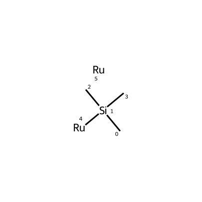 C[Si](C)(C)[Ru].[Ru]